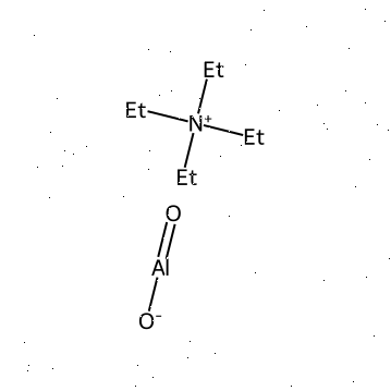 CC[N+](CC)(CC)CC.[O]=[Al][O-]